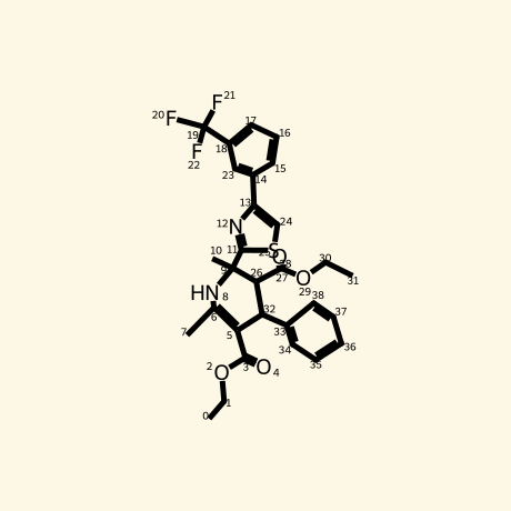 CCOC(=O)C1=C(C)NC(C)(c2nc(-c3cccc(C(F)(F)F)c3)cs2)C(C(=O)OCC)C1c1ccccc1